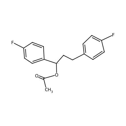 CC(=O)O[C](CCc1ccc(F)cc1)c1ccc(F)cc1